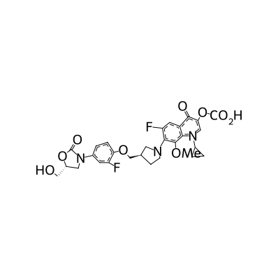 COc1c(N2CC[C@@H](COc3ccc(N4C[C@H](CO)OC4=O)cc3F)C2)c(F)cc2c(=O)c(OC(=O)O)cn(C3CC3)c12